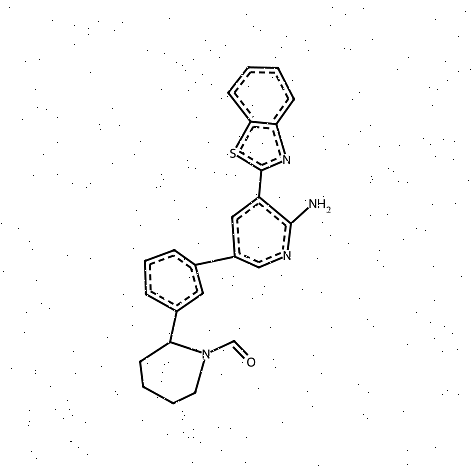 Nc1ncc(-c2cccc(C3CCCCN3C=O)c2)cc1-c1nc2ccccc2s1